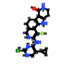 O=C1NCCc2[nH]c3c(c21)CCc1cnc(Nc2nc(Cl)ncc2C2CC2)c(F)c1-3